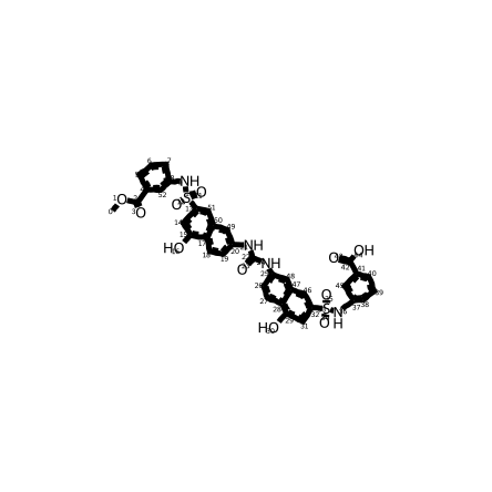 COC(=O)c1cccc(NS(=O)(=O)c2cc(O)c3ccc(NC(=O)Nc4ccc5c(O)cc(S(=O)(=O)Nc6cccc(C(=O)O)c6)cc5c4)cc3c2)c1